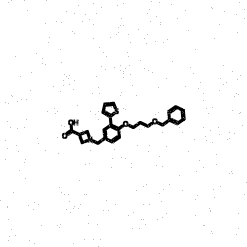 O=C(O)C1CN(Cc2ccc(OCCCOCc3ccccc3)c(-c3cccs3)c2)C1